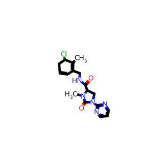 CC1=C(CNC(=O)C2CN(c3ncccn3)C(=O)N2C)C=CCC1Cl